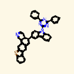 c1ccc(-c2nc(-c3ccccc3)nc(-n3c4ccccc4c4cc(-c5cc6cc7c(cc6c6cnccc56)sc5ccccc57)ccc43)n2)cc1